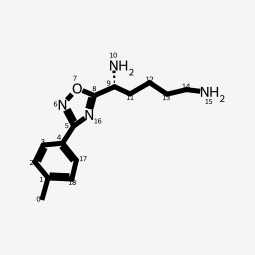 Cc1ccc(-c2noc([C@H](N)CCCCN)n2)cc1